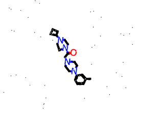 Cc1cccc(N2CCN(CC(=O)N3CCN(C4CCC4)CC3)CC2)c1